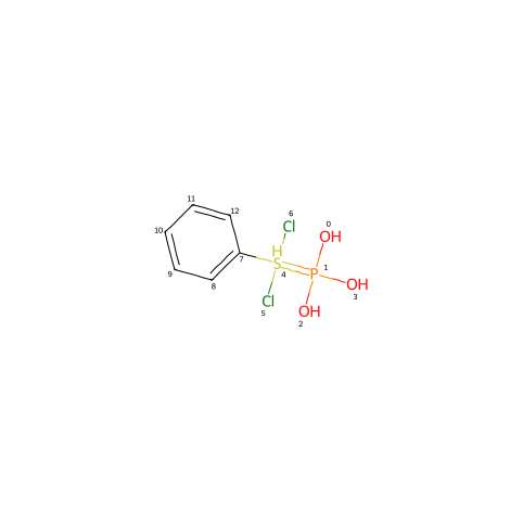 OP(O)(O)=[SH](Cl)(Cl)c1ccccc1